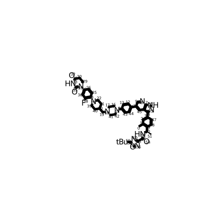 Cc1cc(-c2n[nH]c3ncc(-c4ccc(N5CCN(CC6CCN(c7ccc(N8CCC(=O)NC8=O)cc7F)CC6)CC5)cc4)cc23)ccc1[C@@H](C)NC(=O)c1noc(C(C)(C)C)n1